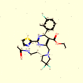 CCOC(=O)C1=C(CN2CC(F)(F)C[C@@H]2CCNC(C)=O)NC(c2nccs2)=N[C@H]1c1cccc(F)c1C